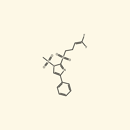 CS(=O)(=O)n1cc(-c2ccccc2)nc1S(=O)(=O)CCC=C(F)F